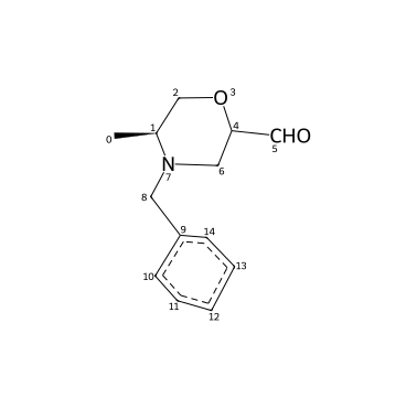 C[C@H]1COC(C=O)CN1Cc1ccccc1